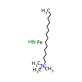 Br.CCCCCCCCCCCCCC[N+](C)(C)C.[Fe]